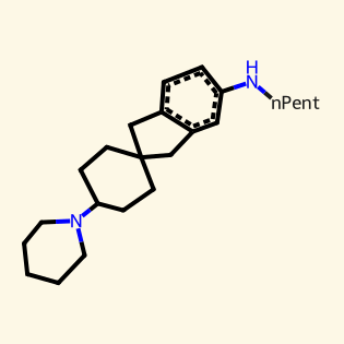 CCCCCNc1ccc2c(c1)CC1(CCC(N3CCCCC3)CC1)C2